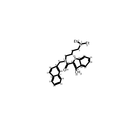 CCN(CC)CCCCN(Cc1ccc2ccccc2c1)C(=O)c1sc2ccccc2c1C